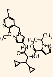 COc1ncc(F)cc1Cn1cc(NC(=O)[C@@H](NC(=O)c2ccnn2C(C)C)C(C2CC2)C2CC2)cn1